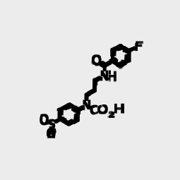 O=C(NCCCN(C(=O)O)c1ccc([SH](=O)=O)cc1)c1ccc(F)cc1